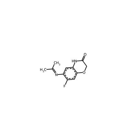 CC(C)=Nc1cc2c(cc1F)OCC(=O)N2